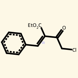 CCOC(=O)/C(=C\c1ccccc1)C(=O)CCl